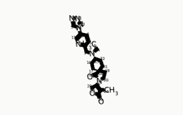 CCN(Cc1ccc(-n2cnnn2)cn1)[C@H]1CC[C@]2(CCN(C3=C(C)C(=O)OC3)C2=O)CC1